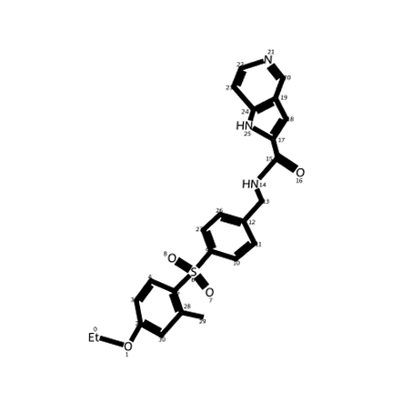 CCOc1ccc(S(=O)(=O)c2ccc(CNC(=O)c3cc4cnccc4[nH]3)cc2)c(C)c1